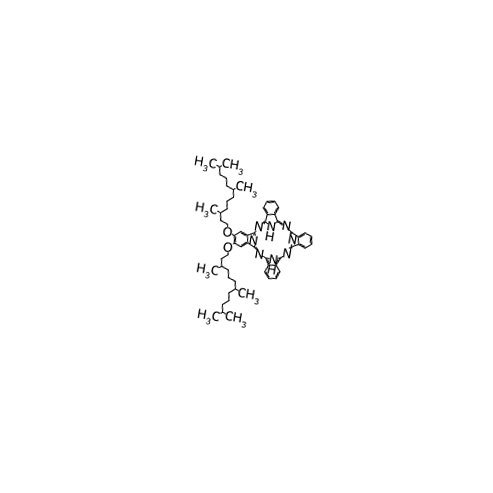 CC(C)CCCC(C)CCCC(C)CCOc1cc2c(cc1OCCC(C)CCCC(C)CCCC(C)C)-c1nc-2nc2[nH]c(nc3nc(nc4[nH]c(n1)c1ccccc41)-c1ccccc1-3)c1ccccc21